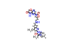 Cc1cc(NC(=O)[C@@H](C)N(C)C)nc2c1CC(CNCCC1CN(c3cnc4c(n3)NC(=O)CO4)C(=O)O1)C2